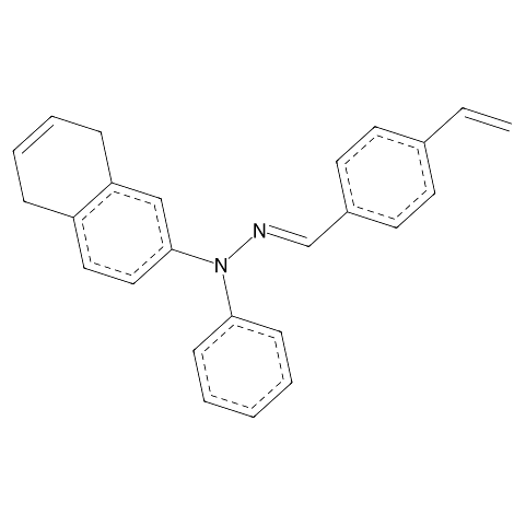 C=Cc1ccc(C=NN(c2ccccc2)c2ccc3c(c2)CC=CC3)cc1